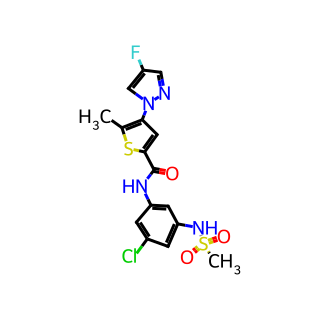 Cc1sc(C(=O)Nc2cc(Cl)cc(NS(C)(=O)=O)c2)cc1-n1cc(F)cn1